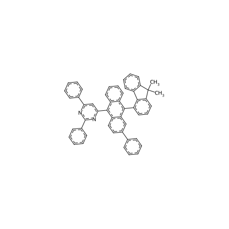 CC1(C)c2ccccc2-c2c(-c3c4ccccc4c(-c4cc(-c5ccccc5)nc(-c5ccccc5)n4)c4ccc(-c5ccccc5)cc34)cccc21